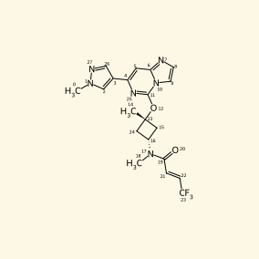 Cn1cc(-c2cc3nccn3c(O[C@]3(C)C[C@H](N(C)C(=O)/C=C/C(F)(F)F)C3)n2)cn1